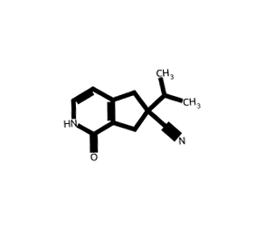 CC(C)C1(C#N)Cc2cc[nH]c(=O)c2C1